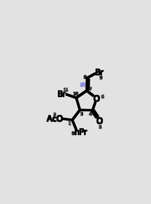 CCCC(OC(C)=O)C1C(=O)O/C(=C\Br)C1Br